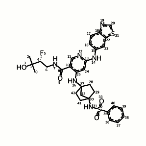 CC(C)(O)[C@H](F)CNC(=O)c1cnc(Nc2ccc3ncsc3c2)cc1NC12CCC(NS(=O)(=O)c3ccccc3)(CC1)C2